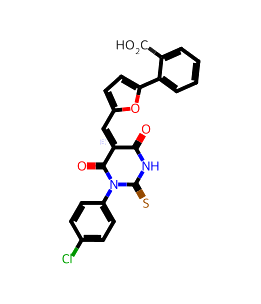 O=C1NC(=S)N(c2ccc(Cl)cc2)C(=O)/C1=C/c1ccc(-c2ccccc2C(=O)O)o1